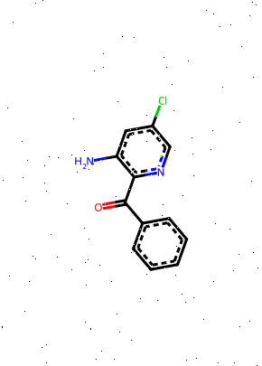 Nc1cc(Cl)cnc1C(=O)c1ccccc1